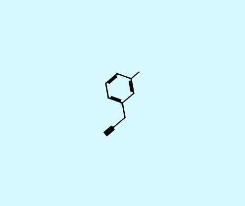 C#CCc1cccc(O)c1